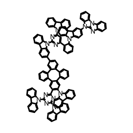 c1ccc2c(c1)-c1ccc(-c3ccc4c5ccccc5n(-c5nc(-c6ccccc6-n6c7ccccc7c7cc(-n8c9ccccc9n9c%10ccccc%10nc89)ccc76)cc(-n6c7ccccc7c7ccccc76)n5)c4c3)cc1-c1ccccc1-c1cc(-c3nc(-n4c5ccccc5c5ccccc54)nc(-n4c5ccccc5c5ccccc54)n3)c(-n3c4ccccc4c4ccccc43)cc1-2